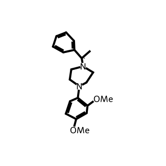 COc1ccc(N2CCN([C](C)c3ccccc3)CC2)c(OC)c1